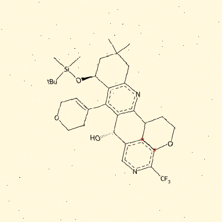 CC1(C)Cc2nc(C3CCOCC3)c([C@@H](O)c3ccc(C(F)(F)F)nc3)c(C3=CCOCC3)c2[C@@H](O[Si](C)(C)C(C)(C)C)C1